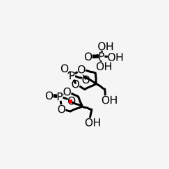 O=P(O)(O)O.O=P12OCC(CO)(CO1)CO2.O=P12OCC(CO)(CO1)CO2